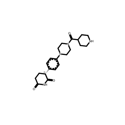 O=C1CC[C@H](c2ccc(N3CCN(C(=O)C4CCNCC4)CC3)cc2)C(=O)N1